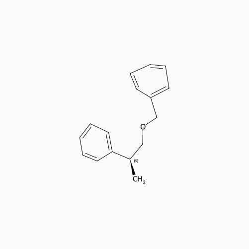 C[C@H](COCc1ccccc1)c1ccccc1